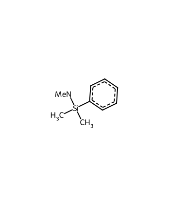 CN[Si](C)(C)c1ccccc1